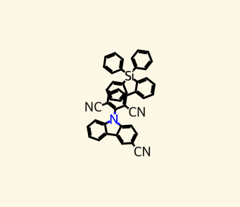 N#Cc1ccc2c(c1)c1ccccc1n2-c1c(C#N)ccc(-c2ccccc2[Si](c2ccccc2)(c2ccccc2)c2ccccc2)c1C#N